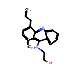 C=CCc1ccc([N+](=O)[O-])c2c(NCCO)c3ccccc3nc12